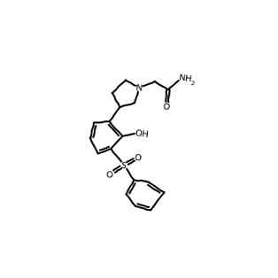 NC(=O)CN1CCC(c2cccc(S(=O)(=O)c3ccccc3)c2O)C1